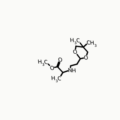 COC(=O)C(C)NCCC1OCC(C)(C)CO1